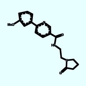 COc1cccc(-c2ccc(C(=O)NCCN3CCCC3=O)cn2)c1